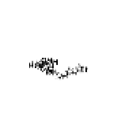 CC/C=C\C/C=C\C/C=C\C/C=C\C/C=C\CCCC(=O)OC1COC(O)(CO)C(O)C1O